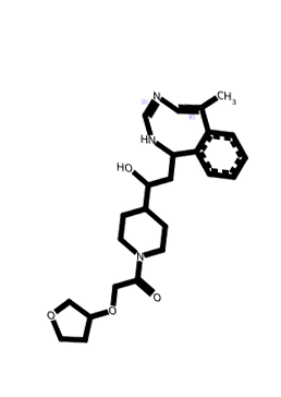 C/C1=C\N=C/NC(CC(O)C2CCN(C(=O)COC3CCOC3)CC2)c2ccccc21